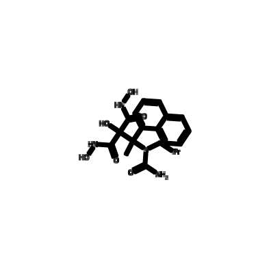 CC(C)CN(C(N)=O)C(C)(c1cccc2ccccc12)C(O)(C(=O)NO)C(=O)NO